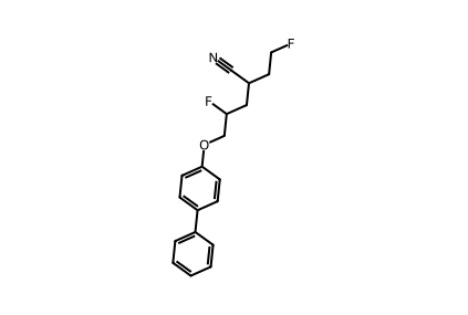 N#CC(CCF)CC(F)COc1ccc(-c2ccccc2)cc1